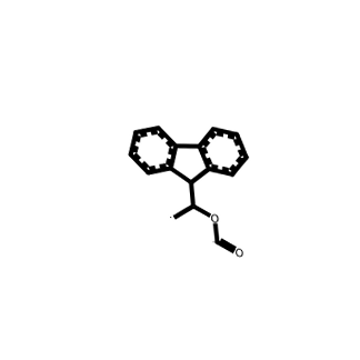 [CH2]C(O[C]=O)C1c2ccccc2-c2ccccc21